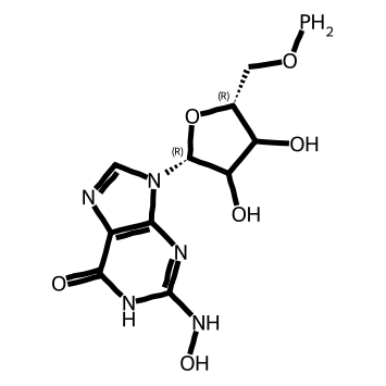 O=c1[nH]c(NO)nc2c1ncn2[C@@H]1O[C@H](COP)C(O)C1O